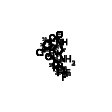 Nc1c(C(=O)N2CCC[C@@]3(C2)NC(=O)Oc2ccc(Cl)c(F)c23)cnn1CC(F)(F)F